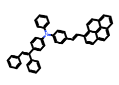 C(=Cc1ccc2ccc3cccc4ccc1c2c34)c1ccc(N(c2ccccc2)c2ccc(C(=Cc3ccccc3)c3ccccc3)cc2)cc1